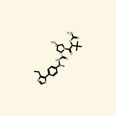 CCc1ncsc1-c1ccc([C@H](C)NC(=O)[C@@H]2C[C@@H](O)CN2C(=O)C(OC(N)=O)C(C)(C)C)cc1